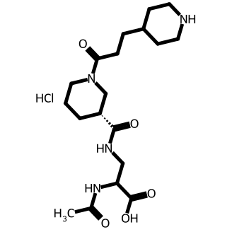 CC(=O)NC(CNC(=O)[C@@H]1CCCN(C(=O)CCC2CCNCC2)C1)C(=O)O.Cl